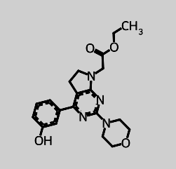 CCOC(=O)CN1CCc2c(-c3cccc(O)c3)nc(N3CCOCC3)nc21